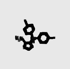 Cc1cc[c]([GeH]([c]2ccc(C)cc2)[c]2ccsc2[SiH3])cc1